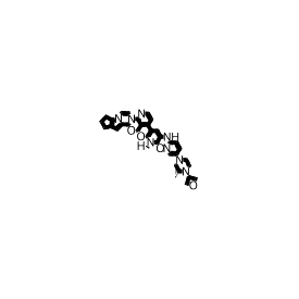 C[C@@H]1CN(c2ccc(Nc3cc(-c4ccnc(-n5ccn6c7c(cc6c5=O)CCC7)c4CO)cn(C)c3=O)nc2)CCN1C1COC1